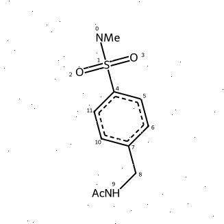 CNS(=O)(=O)c1ccc(CNC(C)=O)cc1